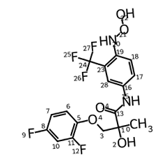 CC(O)(COc1ccc(F)cc1F)C(=O)Nc1ccc(NOO)c(C(F)(F)F)c1